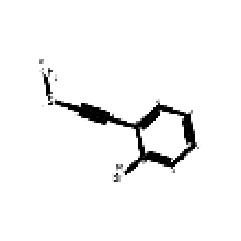 FC(F)(F)SC#Cc1ccccc1Br